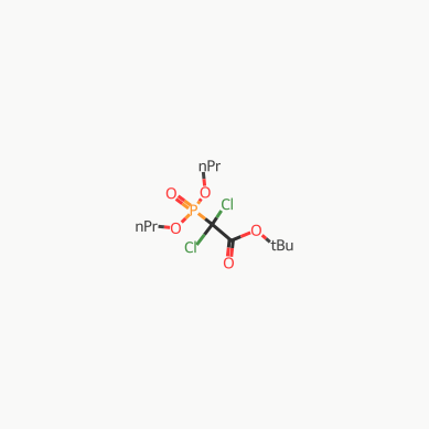 CCCOP(=O)(OCCC)C(Cl)(Cl)C(=O)OC(C)(C)C